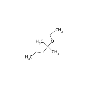 CCCC(C)(C)OCC